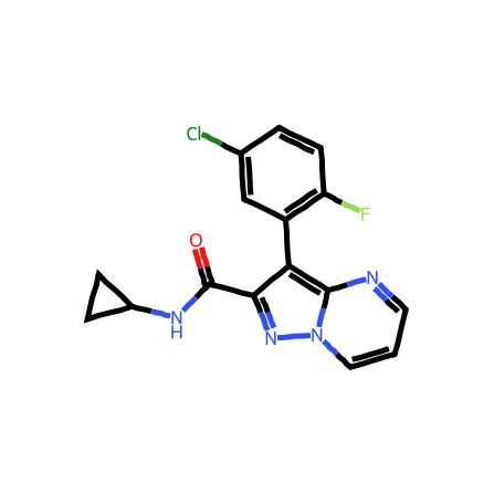 O=C(NC1CC1)c1nn2cccnc2c1-c1cc(Cl)ccc1F